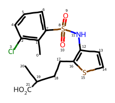 Cc1c(Cl)cccc1S(=O)(=O)Nc1ccsc1CCC(C)C(=O)O